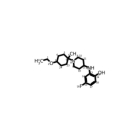 CCOC1CCC(C)(N2CCC(Nc3cc(F)ccc3O)CC2)CC1